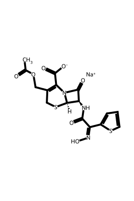 CC(=O)OCC1=C(C(=O)[O-])N2C(=O)[C@@H](NC(=O)/C(=N\O)c3cccs3)[C@H]2SC1.[Na+]